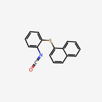 O=C=Nc1ccccc1Sc1cccc2ccccc12